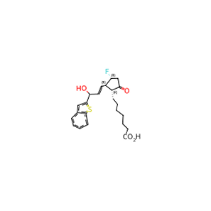 O=C(O)CCCCCC[C@H]1C(=O)C[C@@H](F)[C@@H]1C=CC(O)c1cc2ccccc2s1